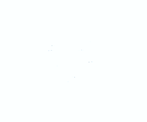 CCCCCCC(C)C(=O)O.CCCCCCCCCCCCCC(CC(CCCCCCCCCC)CCCCCCCCCCCC)C(CCCCCCCCCCCCC)C(CCCCCCCCCCCC)C(=O)O